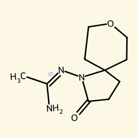 C/C(N)=N/N1C(=O)CCC12CCOCC2